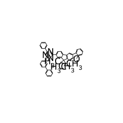 CC(C)C1(C(C)C)c2cc(-c3nc(-c4ccccc4)nc(-c4cccc(-c5ccccc5)c4)n3)ccc2-c2cc3c(cc21)oc1ccccc13